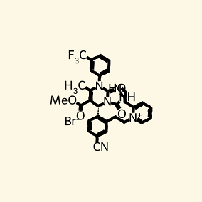 COC(=O)C1=C(C)N(c2cccc(C(F)(F)F)c2)c2n[nH]c(=O)n2[C@@H]1c1ccc(C#N)cc1CC[n+]1ccccc1CCO.[Br-]